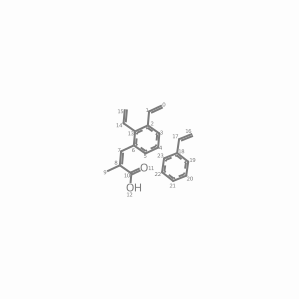 C=Cc1cccc(C=C(C)C(=O)O)c1C=C.C=Cc1ccccc1